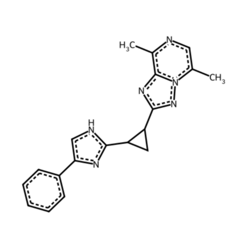 Cc1ncc(C)n2nc(C3CC3c3nc(-c4ccccc4)c[nH]3)nc12